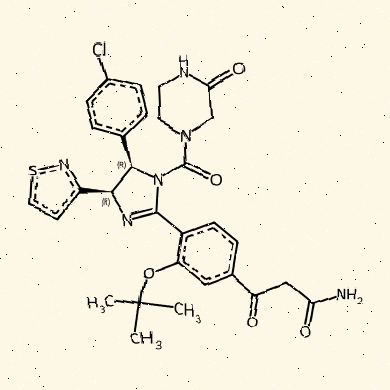 CC(C)(C)Oc1cc(C(=O)CC(N)=O)ccc1C1=N[C@@H](c2ccsn2)[C@@H](c2ccc(Cl)cc2)N1C(=O)N1CCNC(=O)C1